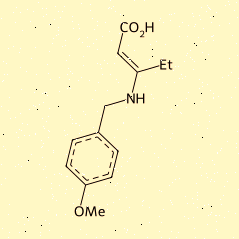 CCC(=CC(=O)O)NCc1ccc(OC)cc1